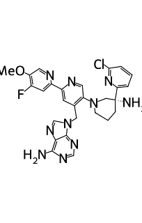 COc1cnc(-c2cc(Cn3cnc4c(N)ncnc43)c(N3CCC[C@](N)(c4cccc(Cl)n4)C3)cn2)cc1F